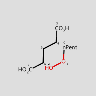 CCCCCOO.O=C(O)CCCC(=O)O